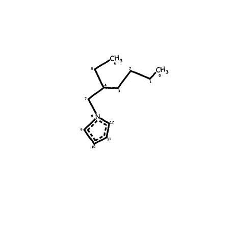 CCCCC(CC)Cn1cccc1